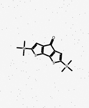 C[Si](C)(C)c1cc2c(s1)-c1sc([Si](C)(C)C)cc1C2=O